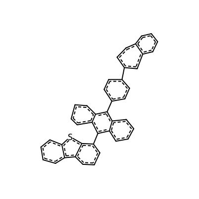 c1ccc2cc(-c3ccc(-c4c5ccccc5c(-c5cccc6c5sc5ccccc56)c5ccccc45)cc3)ccc2c1